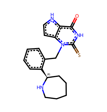 O=c1[nH]c(=S)n(Cc2ccccc2[C@H]2CCCCCN2)c2cc[nH]c12